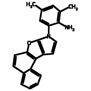 Cc1cc(C)c(N)c(-n2ccc3c4c(ccc5ccccc54)oc32)c1